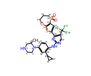 CC1CNCCN1c1ccc(Nc2ncc(C(F)(F)F)c(-c3cc4c(s3)OCCCS4(=O)=O)n2)c(C2CC2)c1